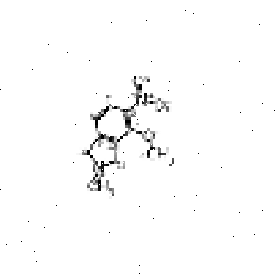 COc1c([N+](=O)[O-])ccc2c1CN(C)C2